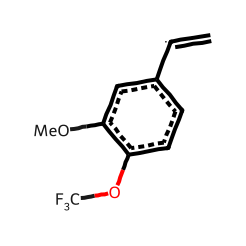 C=[C]c1ccc(OC(F)(F)F)c(OC)c1